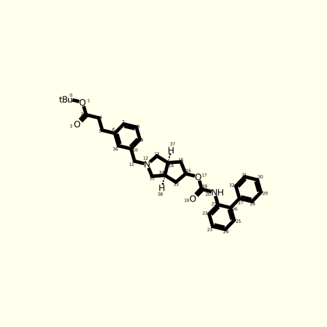 CC(C)(C)OC(=O)CCc1cccc(CN2C[C@H]3CC(OC(=O)Nc4ccccc4-c4ccccc4)C[C@H]3C2)c1